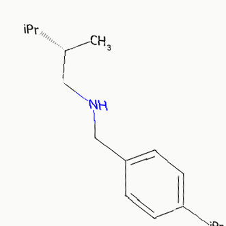 CC(C)c1ccc(CNC[C@@H](C)C(C)C)cc1